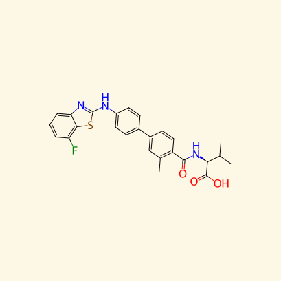 Cc1cc(-c2ccc(Nc3nc4cccc(F)c4s3)cc2)ccc1C(=O)N[C@H](C(=O)O)C(C)C